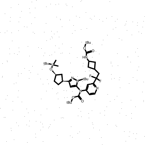 CC(C)(C)OC(=O)NC1CC(CC(F)(F)c2cc(N(C(=O)OC(C)(C)C)c3cc([C@H]4CC[C@@H](O[Si](C)(C)C(C)(C)C)C4)nn3C(C)(C)C)ccn2)C1